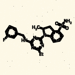 CCc1nc(NCc2cccc(F)c2)nc(N2c3cccc(S(N)(=O)=O)c3CC2C)n1